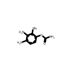 CC(C)(C)c1c(OC(N)=O)ccc(N)c1[N+](=O)[O-]